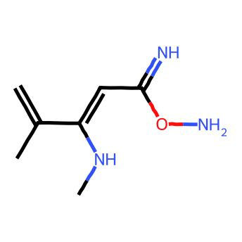 C=C(C)/C(=C/C(=N)ON)NC